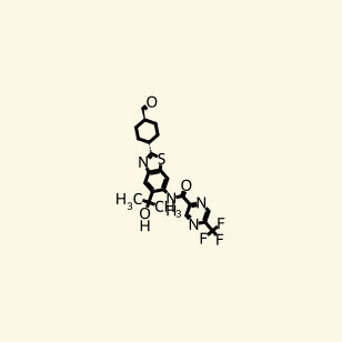 CC(C)(O)c1cc2nc([C@H]3CC[C@H](C=O)CC3)sc2cc1NC(=O)c1cnc(C(F)(F)F)cn1